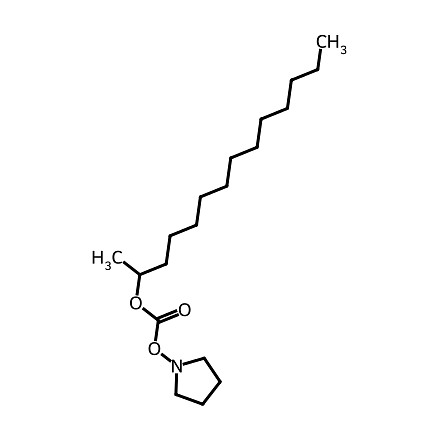 CCCCCCCCCCCCC(C)OC(=O)ON1CCCC1